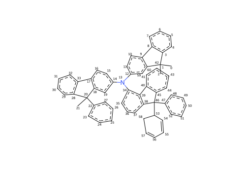 CC1(C)c2ccccc2-c2ccc(N(c3ccc4c(c3)C(C)(c3ccccc3)c3ccccc3-4)c3cccc4c3-c3ccccc3C4(c3ccccc3)C3C=CC=CC3)cc21